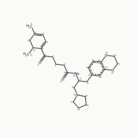 CC1=CC=C(C(=O)CCCC(=O)NC(Cc2ccc3c(c2)OCCO3)CN2CCCC2)C(C)C1